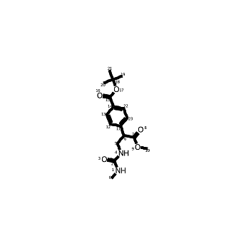 CNC(=O)NCC(C(=O)OC)c1ccc(C(=O)OC(C)(C)C)cc1